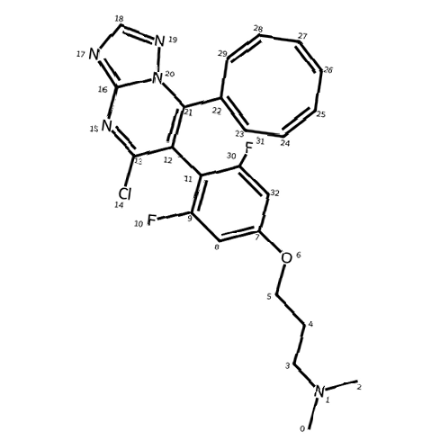 CN(C)CCCOc1cc(F)c(-c2c(Cl)nc3ncnn3c2C2=CC=CC=CC=C2)c(F)c1